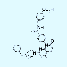 Cc1nc(N2CC3CC2CN3Cc2ccccc2)nc2c1ccc(=O)n2-c1ccc(C(=O)NCc2ccc(C(=O)O)cc2)cc1